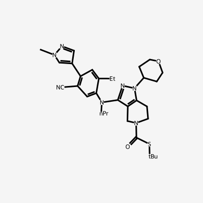 CCCN(c1cc(C#N)c(-c2cnn(C)c2)cc1CC)c1nn(C2CCOCC2)c2c1CN(C(=O)SC(C)(C)C)CC2